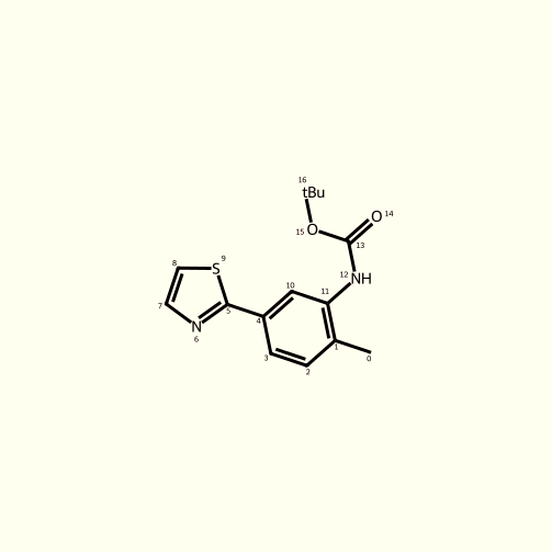 Cc1ccc(-c2nccs2)cc1NC(=O)OC(C)(C)C